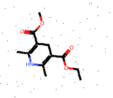 CCOC(=O)C1=C(C)NC(C)=C(C(=O)OC)C1